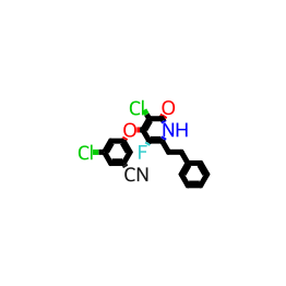 N#Cc1cc(Cl)cc(Oc2c(F)c(CCc3ccccc3)[nH]c(=O)c2Cl)c1